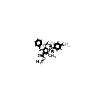 CC[C@H]1[C@H](Sc2ccccc2)C(C(=O)OC)[C@@H](C)N1S(=O)(=O)c1ccc(C)cc1